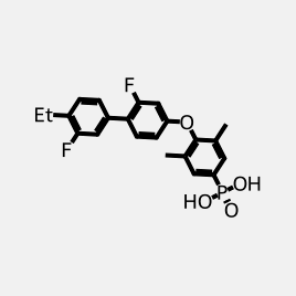 CCc1ccc(-c2ccc(Oc3c(C)cc(P(=O)(O)O)cc3C)cc2F)cc1F